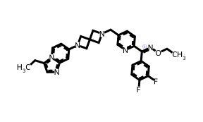 CCO/N=C(\c1ccc(F)c(F)c1)c1ccc(CN2CC3(C2)CN(c2ccn4c(CC)cnc4c2)C3)cn1